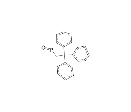 O=PCC(c1ccccc1)(c1ccccc1)c1ccccc1